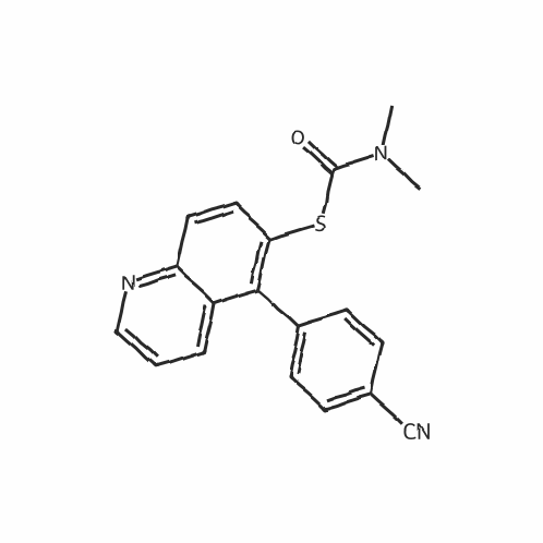 CN(C)C(=O)Sc1ccc2ncccc2c1-c1ccc(C#N)cc1